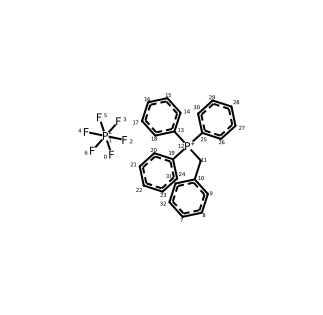 F[P-](F)(F)(F)(F)F.c1ccc(C[P+](c2ccccc2)(c2ccccc2)c2ccccc2)cc1